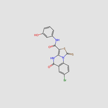 O=C(Nc1cccc(O)c1)c1sc(=S)n2c1[nH]c(=O)c1cc(Br)ccc12